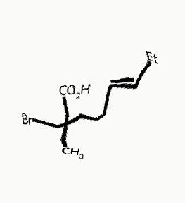 CC/C=C/CC(C)(Br)C(=O)O